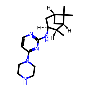 C[C@@H]1[C@@H](Nc2nccc(N3CCNCC3)n2)C[C@H]2C[C@@H]1C2(C)C